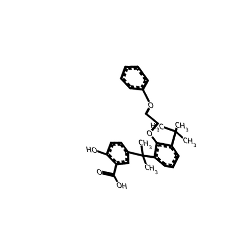 CC(C)(C)c1cccc(C(C)(C)c2ccc(O)c(C(=O)O)c2)c1OCCOc1ccccc1